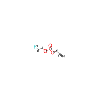 C#CCOC(=O)OCCF